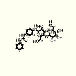 O=C(Nc1ccccc1)Nc1ccc(N[C@@H]2OC(CO)[C@@H](OC3OC(CO)[C@H](O)C(O)[C@@H]3O)[C@H](O)C2O)cc1